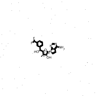 C[C@@H]1[C@@H](O)[C@H](n2ccc3c(N)ncnc32)O[C@@H]1[C@H](O)c1cccc(C(F)F)c1